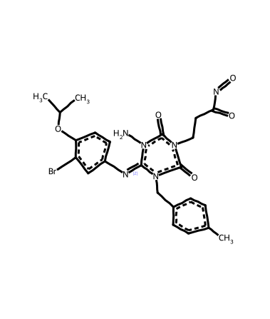 Cc1ccc(Cn2c(=O)n(CCC(=O)N=O)c(=O)n(N)/c2=N\c2ccc(OC(C)C)c(Br)c2)cc1